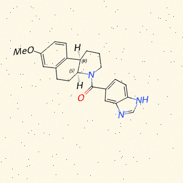 COc1ccc2c(c1)CC[C@H]1[C@@H]2CCCN1C(=O)c1ccc2[nH]cnc2c1